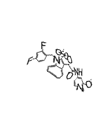 COc1cc(NC(=O)C(=O)c2c(S(C)(=O)=O)n(Cc3ccc(F)cc3F)c3ccccc23)ccn1